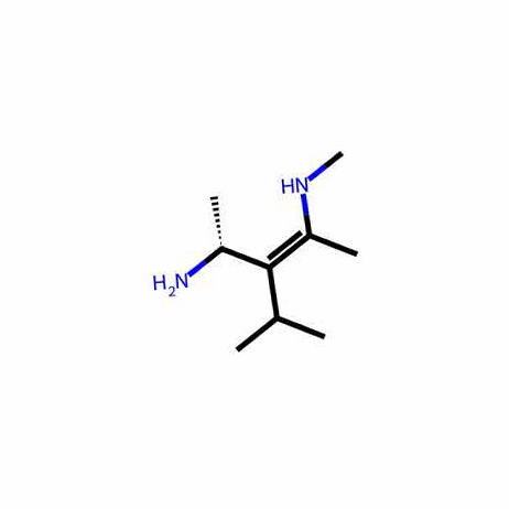 CN/C(C)=C(/C(C)C)[C@@H](C)N